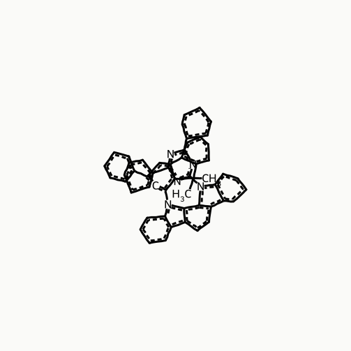 CC1(C)c2ccccc2-c2cc(-c3ccccc3)cc(-n3c4ccccc4c4ccc5c6ccccc6n(-c6nc(-c7ccccc7)nc(-c7ccccc7)n6)c5c43)c21